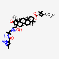 Cc1cc(C(=O)NC(C)(C)CNC[C@H](O)[C@@]23CC[C@]4(C)[C@H](CC[C@@H]5[C@@]6(C)CC[C@H](OC(=O)[C@H]7C[C@@H](C(=O)O)C7(C)C)C(C)(C)[C@@H]6CC[C@]54C)C2=C(C(C)C)C(=O)C3)[nH]n1